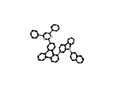 c1ccc(-c2cc(-c3ccccc3)nc(-c3ccc4c(c3)c3ccccc3c3cccc(-c5ccc6c7ccccc7n(-c7ccc8ccccc8c7)c6c5)c34)n2)cc1